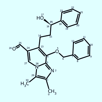 Cc1nc2c(OCc3ccccc3)c(CC[C@@H](O)c3ccccc3)c([C]=O)cn2c1C